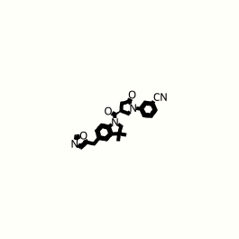 CC1(C)CN(C(=O)[C@H]2CC(=O)N(c3cccc(C#N)c3)C2)c2ccc(Cc3cnco3)cc21